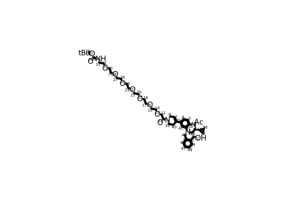 CC(=O)N1c2ccc(C3=CCN(C(=O)COCCOCCOCCOCCOCCOCCOCCNC(=O)OC(C)(C)C)CC3)cc2N(Cc2ccccc2CO)C[C@@H]1C1CC1